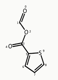 O=[C]OC(=O)c1cccs1